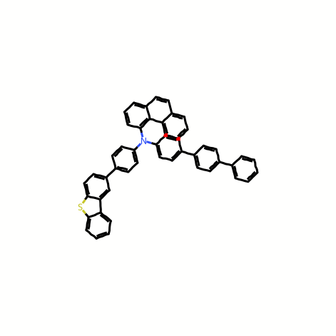 c1ccc(-c2ccc(-c3ccc(N(c4ccc(-c5ccc6sc7ccccc7c6c5)cc4)c4cccc5ccc6ccccc6c45)cc3)cc2)cc1